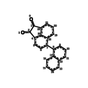 O=C1C(=O)c2ccc(-c3cccc4ccccc34)c3cccc1c23